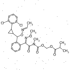 CC=NOC(c1ccccc1C(=NOC)C(=O)N(C)C(=O)OCOC(=O)C(C)C)C1CC1c1c(Cl)cccc1Cl